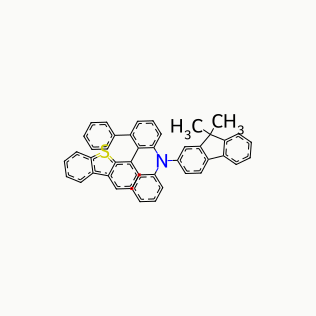 CC1(C)c2ccccc2-c2ccc(N(c3ccccc3)c3cccc(-c4ccccc4)c3-c3cccc4c3sc3ccccc34)cc21